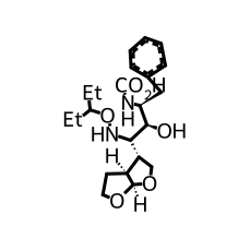 CCC(CC)ONC([C@H](O)[C@H](Cc1ccccc1)NC(=O)O)[C@@H]1CO[C@H]2OCC[C@H]21